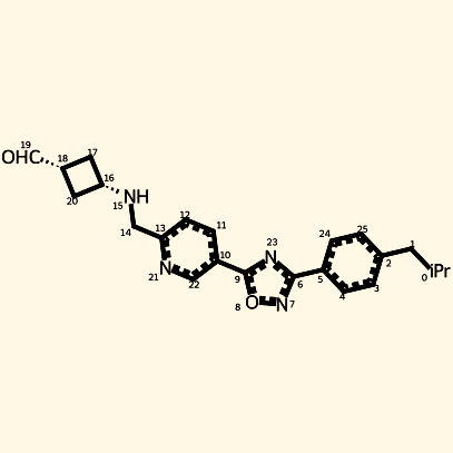 CC(C)Cc1ccc(-c2noc(-c3ccc(CN[C@H]4C[C@@H](C=O)C4)nc3)n2)cc1